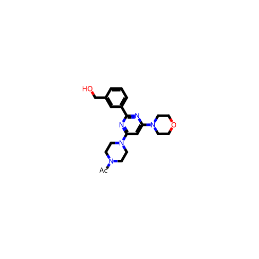 CC(=O)N1CCN(c2cc(N3CCOCC3)nc(-c3cccc(CO)c3)n2)CC1